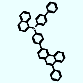 c1ccc(-c2ccc(N(c3ccc(-c4ccc5cc(-c6ccccc6)c6ccccc6c5c4)cc3)c3cccc4ccccc34)cc2)cc1